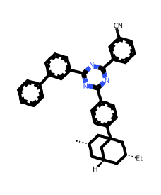 CC[C@@H]1C[C@@H]2C[C@H](C)CC(c3ccc(-c4nc(-c5cccc(C#N)c5)nc(-c5cccc(-c6ccccc6)c5)n4)cc3)(C1)C2